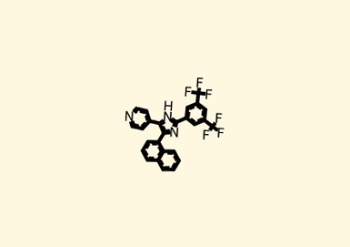 FC(F)(F)c1cc(-c2nc(-c3cccc4ccccc34)c(-c3ccncc3)[nH]2)cc(C(F)(F)F)c1